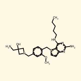 CCCCCNc1nc(N)nc2ccn(Cc3ccc(CN4CC(O)(CN)C4)cc3OC)c12